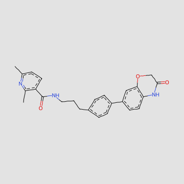 Cc1ccc(C(=O)NCCCc2ccc(-c3ccc4c(c3)OCC(=O)N4)cc2)c(C)n1